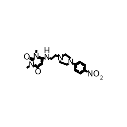 Cn1c(NCCN2CCN(c3ccc([N+](=O)[O-])cc3)CC2)cc(=O)n(C)c1=O